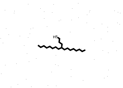 CCCCCCCCC(CCCS)CCCCCCCC